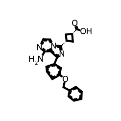 Nc1nccn2c1c(-c1cccc(OCc3ccccc3)c1)nc2[C@H]1C[C@@H](C(=O)O)C1